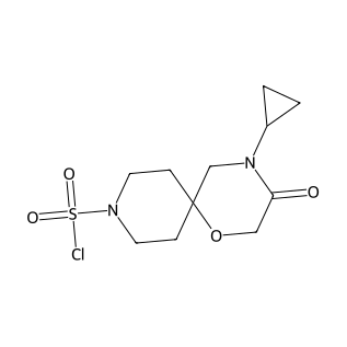 O=C1COC2(CCN(S(=O)(=O)Cl)CC2)CN1C1CC1